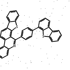 c1ccc2c(c1)nc(-c1ccc(-c3cccc4c3sc3ccccc34)cc1)c1c2ccc2c3ccccc3sc21